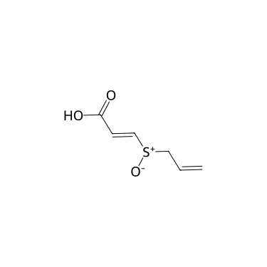 C=CC[S+]([O-])C=CC(=O)O